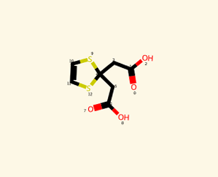 O=C(O)CC1(CC(=O)O)SC=CS1